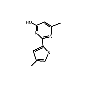 Cc1csc(-c2nc(C)cc(O)n2)c1